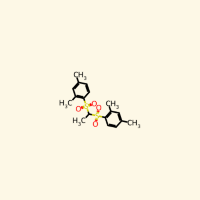 Cc1ccc(S(=O)(=O)C(C)S(=O)(=O)c2ccc(C)cc2C)c(C)c1